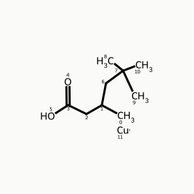 CC(CC(=O)O)CC(C)(C)C.[Cu]